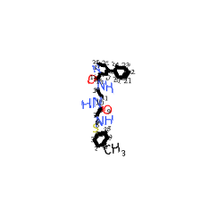 Cc1ccc(SNCC(=O)NCCNC(=O)c2cc(-c3ccccc3)ccn2)cc1